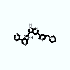 c1cncc(-c2cncc3[nH]c(-c4c[nH]c5ncc(-c6cncc(CN7CCCCC7)c6)cc45)nc23)c1